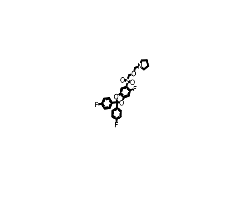 O=S(=O)(COCN1CCCC1)c1cc2c(cc1F)OC(c1ccc(F)cc1)(c1ccc(F)cc1)O2